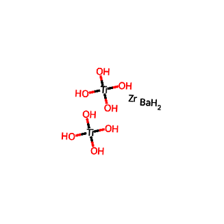 [BaH2].[OH][Ti]([OH])([OH])[OH].[OH][Ti]([OH])([OH])[OH].[Zr]